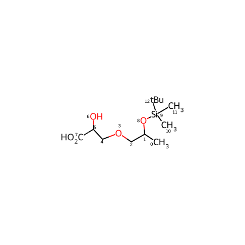 CC(COCC(O)C(=O)O)O[Si](C)(C)C(C)(C)C